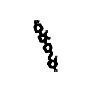 CCCC1CCC(c2ccc(C3CCC(CCC4=CC[C@H](CC)C=C4F)CC3)c(F)c2F)CC1